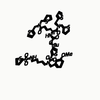 CC(C)(C)OC(=O)N[C@@H](CCCC(=O)N(Cc1cccs1)Cc1cccs1)C(=O)N(Cc1cccs1)Cc1cccs1.COc1cccc(CN(CCCCCNS(=O)(=O)c2cccs2)S(=O)(=O)c2cccs2)c1